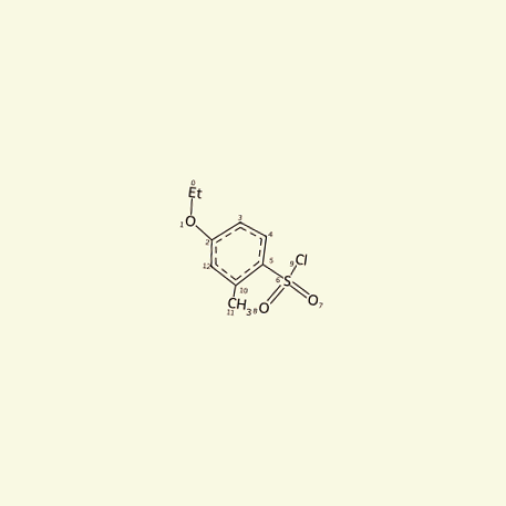 CCOc1ccc(S(=O)(=O)Cl)c(C)c1